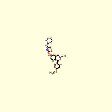 CSc1ccc(C2CN(C)Cc3cc(Oc4nc(CN5CCCCC5)cs4)ccc32)cc1